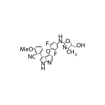 COc1cccc(-c2c[nH]c3nccc(Oc4c(F)cc(NC5=NC(C)C(CO)CO5)cc4F)c23)c1C#N